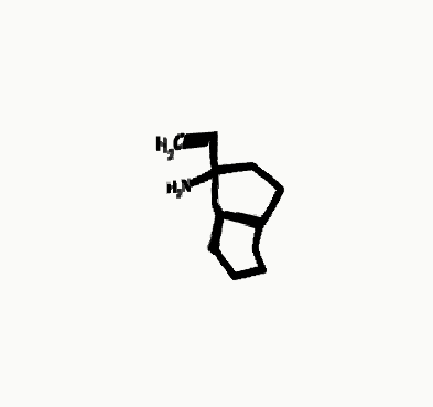 C=CC1(N)CCC2CCCC21